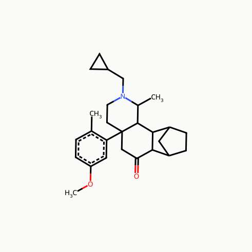 COc1ccc(C)c(C23CCN(CC4CC4)C(C)C2C2C4CCC(C4)C2C(=O)C3)c1